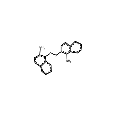 Nc1ccc2ccccc2c1SSc1ccc2ccccc2c1N